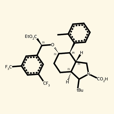 CCOC(=O)[C@@H](O[C@H]1CC[C@@H]2C(C(C)(C)C)N(C(=O)O)C[C@H]2[C@@H]1c1ccccc1C)c1cc(C(F)(F)F)cc(C(F)(F)F)c1